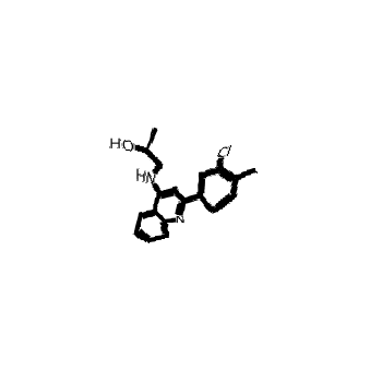 Cc1ccc(-c2cc(NC[C@H](C)O)c3ccccc3n2)cc1Cl